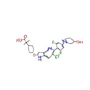 CC(C)(C(=O)O)[C@H]1CC[C@H](Oc2cc3nc(-c4c(F)cc(N5CC[C@@H](O)C5)cc4F)c(Cl)cc3[nH]2)CC1